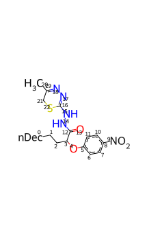 CCCCCCCCCCCCC(Oc1ccc([N+](=O)[O-])cc1)C(=O)NNC1=NN=C(C)CS1